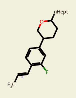 CCCCCCCC1CCC(c2ccc(/C=C/C(F)(F)F)c(F)c2)CO1